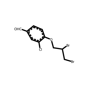 O=Cc1ccc(OCC(Br)CBr)c(Cl)c1